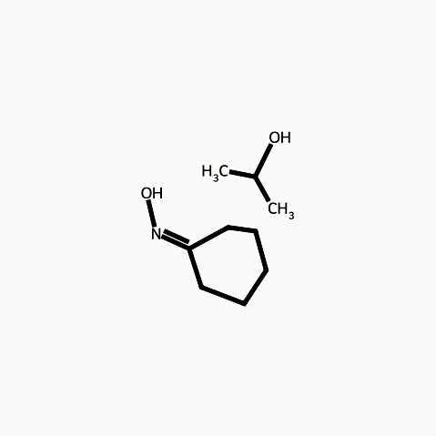 CC(C)O.ON=C1CCCCC1